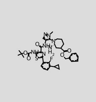 Cn1ncc(NC(=O)c2nc(-c3cccc(C4CC4)c3F)sc2NC(=O)OC(C)(C)C)c1N1CCCC(C(=O)OCc2ccccc2)C[C@@H]1N